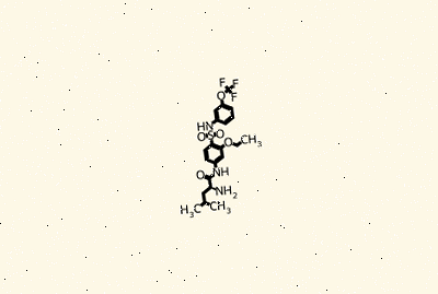 CCOc1cc(NC(=O)[C@@H](N)CC(C)C)ccc1S(=O)(=O)Nc1cccc(OC(F)(F)F)c1